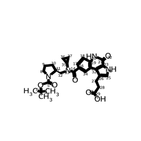 CC(C)(C)OC(=O)N1CCC[C@H]1CN(C(=O)c1ccc2[nH]c(=O)c3[nH]cc(CCC(=O)O)c3c2c1)C1CC1